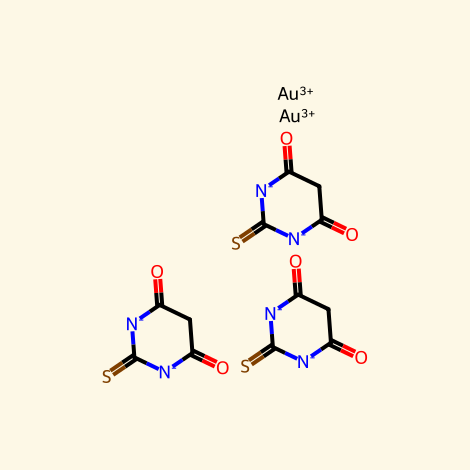 O=C1CC(=O)[N-]C(=S)[N-]1.O=C1CC(=O)[N-]C(=S)[N-]1.O=C1CC(=O)[N-]C(=S)[N-]1.[Au+3].[Au+3]